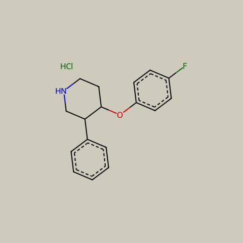 Cl.Fc1ccc(OC2CCNCC2c2ccccc2)cc1